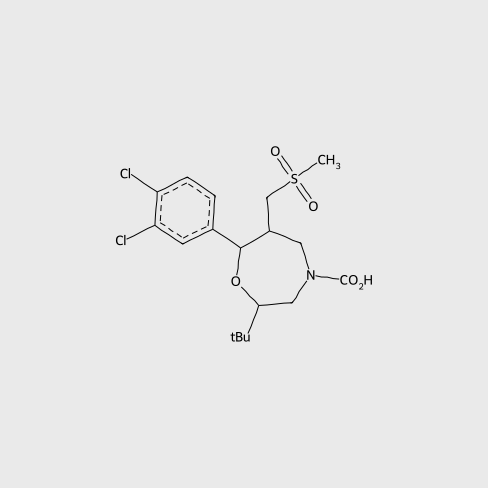 CC(C)(C)C1CN(C(=O)O)CC(CS(C)(=O)=O)C(c2ccc(Cl)c(Cl)c2)O1